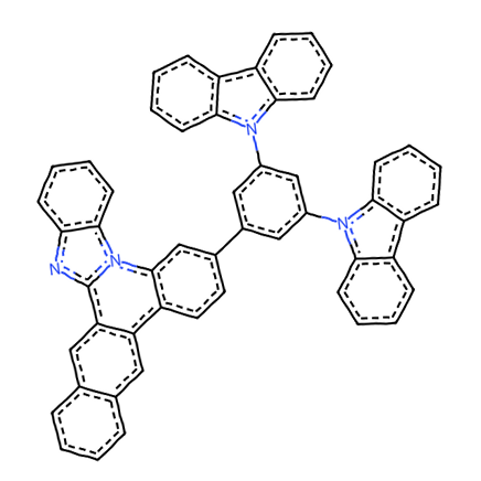 c1ccc2cc3c(cc2c1)c1ccc(-c2cc(-n4c5ccccc5c5ccccc54)cc(-n4c5ccccc5c5ccccc54)c2)cc1n1c2ccccc2nc31